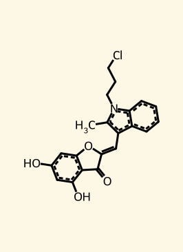 Cc1c(C=C2Oc3cc(O)cc(O)c3C2=O)c2ccccc2n1CCCCl